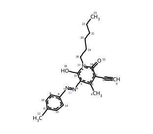 C#Cc1c(C)c(/N=N/c2ccc(C)cc2)c(O)n(CCCCCC)c1=O